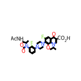 CC(=O)N[C@H]1OC(=O)N(c2cccc(N3CCN(c4c(F)cc5c(=O)c(C(=O)O)cn6c5c4OCC6C)CC3)c2F)C1C